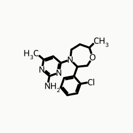 Cc1cc(N2CCC(C)OCC2c2ccccc2Cl)nc(N)n1